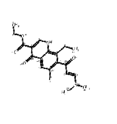 CCOC(=O)c1c[nH]c2c(CC)c(C(=O)C=CN(C)C)c(F)cc2c1=O